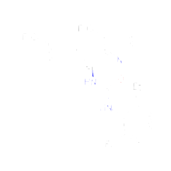 CCc1cccc(CC)c1NC(=O)N[C@@H](c1ccc(C(F)(F)F)cc1)c1ncccc1C(F)(F)F